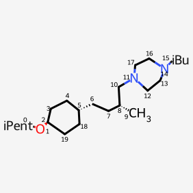 CCCC(C)O[C@H]1CC[C@H](CC[C@@H](C)CN2CCN(C(C)CC)CC2)CC1